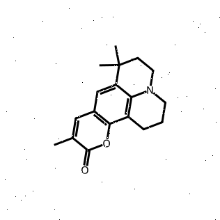 Cc1cc2cc3c4c(c2oc1=O)CCCN4CCC3(C)C